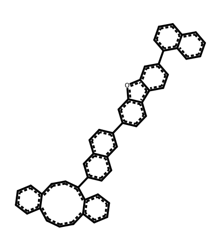 c1ccc2ccc(-c3ccc4cc(-c5ccc6c(c5)oc5cc(-c7cccc8ccccc78)ccc56)ccc4c3)c3ccccc3cccc2c1